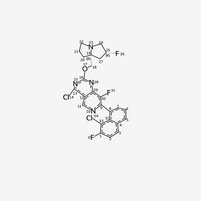 Fc1ccc2cccc(-c3ncc4c(Cl)nc(OC[C@]56CCCN5C[C@H](F)C6)nc4c3F)c2c1Cl